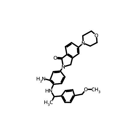 COCc1ccc(C(C)Nc2ccc(N3Cc4cc(N5CCOCC5)ccc4C3=O)cc2N)cc1